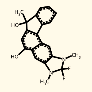 CN1c2cc3c(O)cc4c(c3cc2N(C)C1(F)F)-c1ccccc1C4(C)O